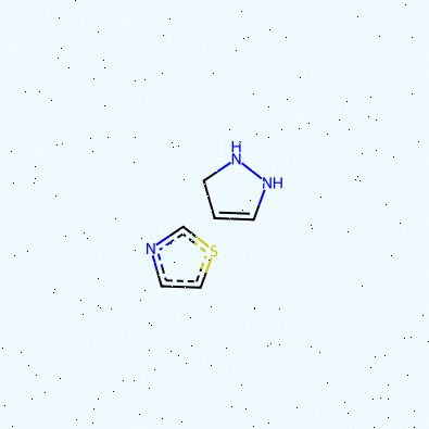 C1=CNNC1.c1cscn1